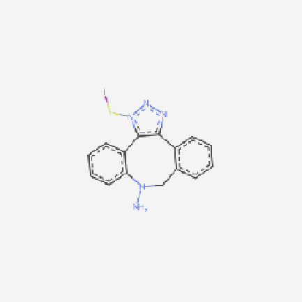 NN1Cc2ccccc2-c2nnn(SI)c2-c2ccccc21